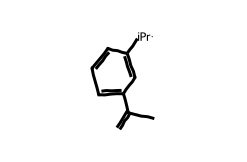 C=C(C)c1cccc([C](C)C)c1